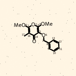 COc1oc(OC)c(OCc2ccccc2)c(=O)c1C